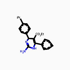 CCOC(=O)C1=C(c2ccccc2)NC(N)=NC1c1ccc(C(C)C)cc1